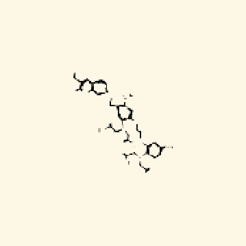 COc1ccc(N(CC(=O)O)CC(=O)O)c(OCCOc2cc([N+](=O)[O-])c(COc3ccc4cc(C=O)c(=O)oc4c3)cc2N(CC(=O)O)CC(=O)O)c1